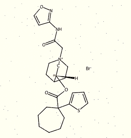 O=C(C[N+]12CCC(CC1)[C@@H](OC(=O)C1(c3cccs3)CCCCCC1)C2)Nc1ccon1.[Br-]